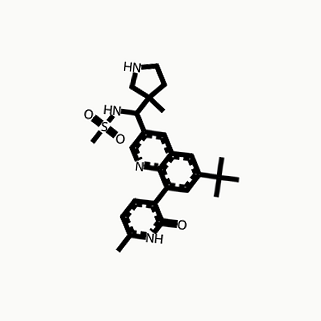 Cc1ccc(-c2cc(C(C)(C)C)cc3cc(C(NS(C)(=O)=O)C4(C)CCNC4)cnc23)c(=O)[nH]1